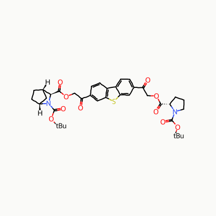 CC(C)(C)OC(=O)N1CCC[C@H]1C(=O)OCC(=O)c1ccc2c(c1)sc1cc(C(=O)COC(=O)[C@@H]3[C@H]4CC[C@H](C4)N3C(=O)OC(C)(C)C)ccc12